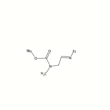 CC/N=C/CN(C)C(=O)OC(C)(C)C